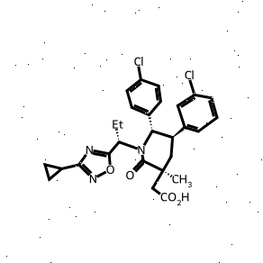 CC[C@@H](c1nc(C2CC2)no1)N1C(=O)[C@](C)(CC(=O)O)C[C@H](c2cccc(Cl)c2)[C@H]1c1ccc(Cl)cc1